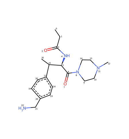 CCC(=O)N[C@@H](C(=O)N1CCN(C)CC1)C(C)c1ccc(CN)cc1